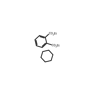 C1CCCCC1.CCOC(=O)c1ccccc1C(=O)OCC